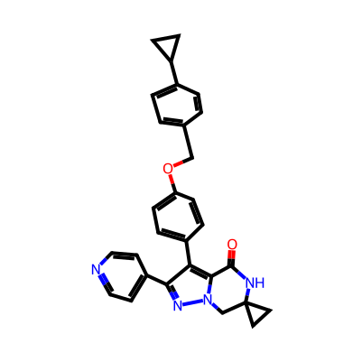 O=C1NC2(CC2)Cn2nc(-c3ccncc3)c(-c3ccc(OCc4ccc(C5CC5)cc4)cc3)c21